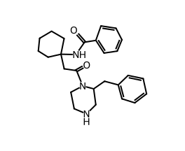 O=C(NC1(CC(=O)N2CCNCC2Cc2ccccc2)CCCCC1)c1ccccc1